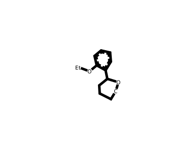 CCOc1ccccc1[C]1CCCCO1